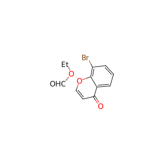 CCOC=O.O=c1ccoc2c(Br)cccc12